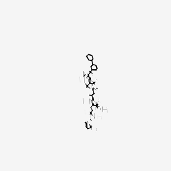 C=C1C=CC(=O)N1CCNC(=O)CCC(NC(=O)/C(C)=C/CN(C)C(=O)C(NC(=O)C(N(C)C)C(C)(C)c1cccc(-c2ccccc2)c1)C(C)(C)C)C(=O)O